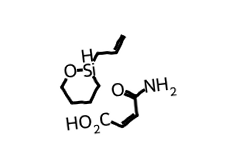 C=CC[SiH]1CCCCO1.NC(=O)/C=C\C(=O)O